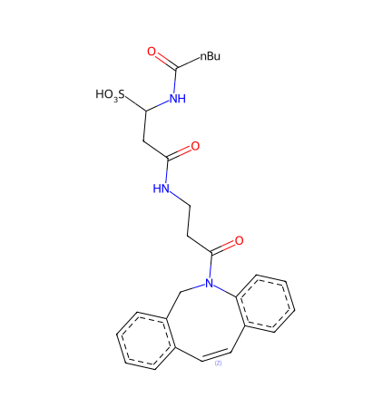 CCCCC(=O)NC(CC(=O)NCCC(=O)N1Cc2ccccc2/C=C\c2ccccc21)S(=O)(=O)O